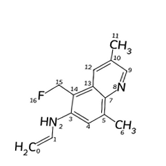 C=CNc1cc(C)c2ncc(C)cc2c1CF